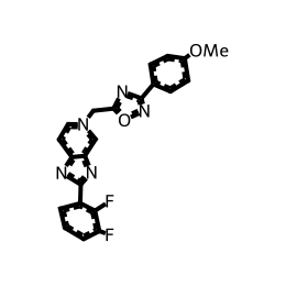 COc1ccc(-c2noc(Cn3ccc4nc(-c5cccc(F)c5F)nc-4c3)n2)cc1